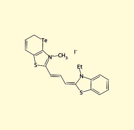 CCN1C(=CC=Cc2sc3c([n+]2C)[Te]CC=C3)Sc2ccccc21.[I-]